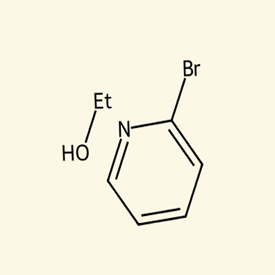 Brc1ccccn1.CCO